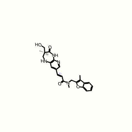 Cc1c(CN(C)C(=O)/C=C/c2cnc3c(c2)NC[C@@](C)(CO)C(=O)N3)oc2ccccc12